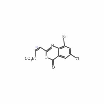 CCOC(=O)/C=C\c1nc2c(Br)cc(Cl)cc2c(=O)o1